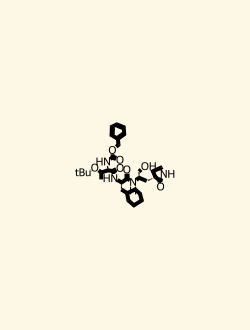 CC(OC(C)(C)C)[C@H](NC(=O)OCc1ccccc1)C(=O)N[C@@H](CC1CCCCC1)C(=O)N[C@H](CO)C[C@@H]1CCNC1=O